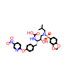 CC(C)CN(C[C@@H](O)[C@H](Cc1ccc(Oc2ccc([N+](=O)[O-])cn2)cc1)NC(=O)O)S(=O)(=O)c1ccc2c(c1)OCO2